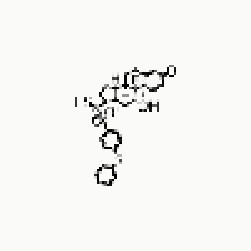 C[C@]12C=CC(=O)C=C1CC[C@H]1[C@@H]3CC[C@](OC(=O)c4ccc(Sc5ccccc5)cc4)(C(=O)S)[C@@]3(C)C[C@H](O)[C@@]12F